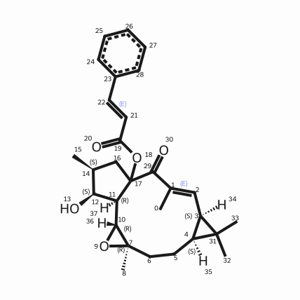 C/C1=C\[C@@H]2[C@H](CC[C@@]3(C)O[C@@H]3[C@H]3[C@@H](O)[C@@H](C)CC3(OC(=O)/C=C/c3ccccc3)C1=O)C2(C)C